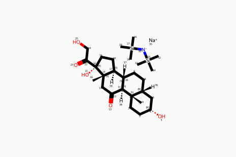 C[C@]12CC[C@@H](O)C[C@H]1CC[C@@H]1[C@@H]2C(=O)C[C@@]2(C)[C@H]1CC[C@]2(O)C(=O)CO.C[Si](C)(C)[N-][Si](C)(C)C.[Na+]